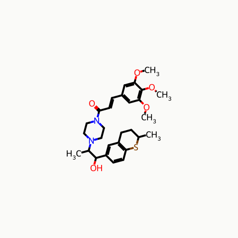 COc1cc(C=CC(=O)N2CCN(C(C)C(O)c3ccc4c(c3)CCC(C)S4)CC2)cc(OC)c1OC